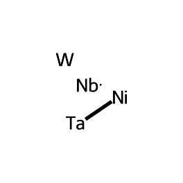 [Nb].[Ni][Ta].[W]